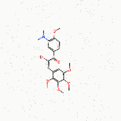 COc1ccc(C(=O)/C(Br)=C\c2cc(OC)c(OC)c(OC)c2OC)cc1N(C)C